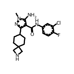 Cn1nc(C2CCC3(CC2)CNC3)c(C(=O)Nc2ccc(F)c(Cl)c2)c1N